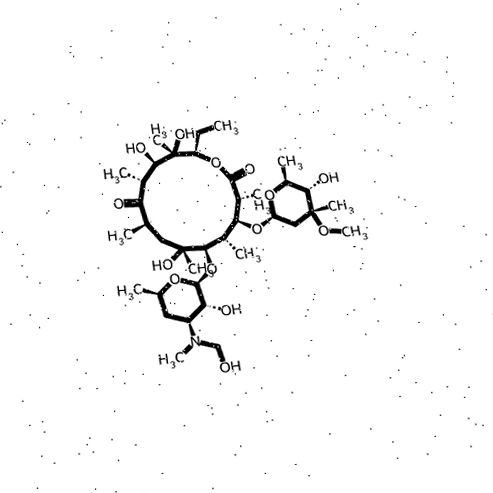 CC[C@H]1OC(=O)[C@H](C)[C@@H](O[C@@H]2C[C@@](C)(OC)[C@@H](O)[C@H](C)O2)[C@H](C)[C@@H](O[C@@H]2O[C@H](C)C[C@H](N(C)CO)[C@H]2O)[C@](C)(O)C[C@@H](C)C(=O)[C@H](C)[C@@H](O)[C@]1(C)O